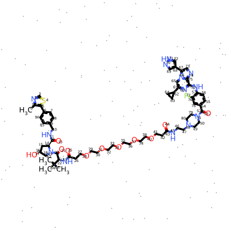 Cc1ncsc1-c1ccc(CNC(=O)[C@@H]2C[C@@H](O)CN2C(=O)[C@@H](NC(=O)CCOCCOCCOCCOCCOCCC(=O)NCCN2CCN(C(=O)c3ccc(Nc4nc(C5CC5)cn5c(-c6cn[nH]c6)cnc45)c(F)c3)CC2)C(C)(C)C)cc1